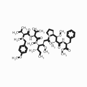 CC[C@H](C)[C@@H]([C@@H](CC(=O)N1CCC[C@H]1[C@H](OC)[C@@H](C)C(=O)N[C@@H](Cc1ccccc1)C(=O)OC)OC)N(C)C(=O)[C@@H](NC(=O)[C@H](C(C)C)N(C)Cc1ccc(OC)cc1)C(C)C